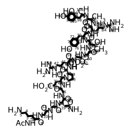 CC(=O)N[C@@H](CCCCN)C(=O)NCC(=O)NCC(=O)N[C@@H](CC(N)=O)C(=O)NCC(=O)N[C@@H](CCC(=O)O)C(=O)N1CCC[C@H]1C(=O)N[C@@H](CCCNC(=N)N)C(=O)NCC(=O)N[C@@H](CC(=O)O)C(=O)N[C@H](C(=O)N[C@@H](Cc1ccc(O)cc1)C(=O)N[C@@H](CCCNC(=N)N)C(=O)N[C@@H](C)C(=O)N[C@@H](Cc1ccc(O)cc1)C(=O)O)[C@@H](C)O